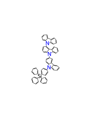 c1ccc([Si](c2ccccc2)(c2ccccc2)c2ccc(-n3c4ccccc4c4cc(-n5c6ccccc6c6c(-n7c8ccccc8c8ccccc87)cccc65)ccc43)cc2)cc1